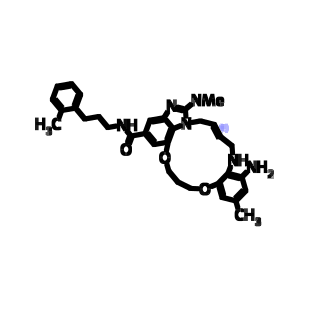 CNc1nc2cc(C(=O)NCCCc3ccccc3C)cc3c2n1C/C=C/CNc1c(N)cc(C)cc1OCCCO3